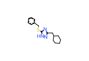 c1ccc(CSc2nc(CC3CCCCC3)n[nH]2)cc1